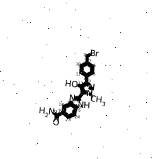 Cn1nc(-c2ccc(CBr)cc2)c(O)c1-c1nc2cc(C(N)=O)ccc2[nH]1